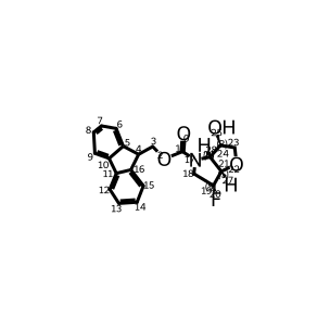 O=C(OCC1c2ccccc2-c2ccccc21)N1C[C@H](F)[C@H]2OC[C@H](O)[C@H]21